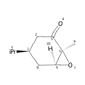 CC(C)[C@H]1CC(=O)[C@@]2(C)O[C@H]2C1